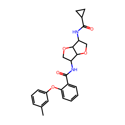 Cc1cccc(Oc2ccccc2C(=O)NC2COC3C(NC(=O)C4CC4)COC23)c1